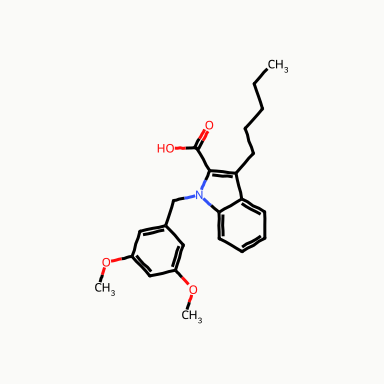 CCCCCc1c(C(=O)O)n(Cc2cc(OC)cc(OC)c2)c2ccccc12